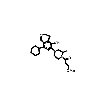 COCCC(=O)N1CCN(c2nc(C3CCCCC3)c3c(c2C#N)CCOC3)CC1C